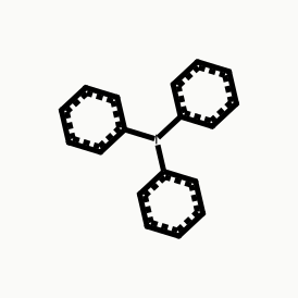 c1ccc(I(c2ccccc2)c2ccccc2)cc1